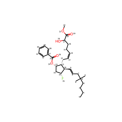 CCCCC(C)(C)C/C=C/[C@@H]1[C@@H](C/C=C\CCC(O)C(=O)OC)[C@@H](OC(=O)c2ccccc2)C[C@H]1F